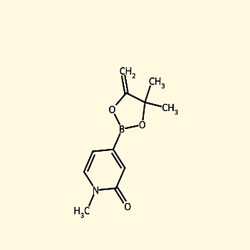 C=C1OB(c2ccn(C)c(=O)c2)OC1(C)C